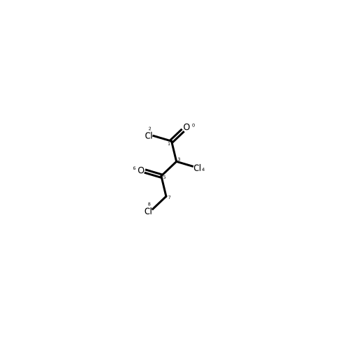 O=C(Cl)C(Cl)C(=O)CCl